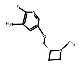 CN1CC[C@@H]1COc1cnc(F)c(N)c1